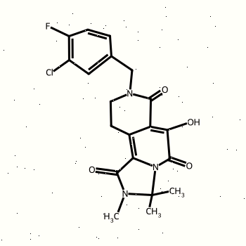 CN1C(=O)c2c3c(c(O)c(=O)n2C1(C)C)C(=O)N(Cc1ccc(F)c(Cl)c1)CC3